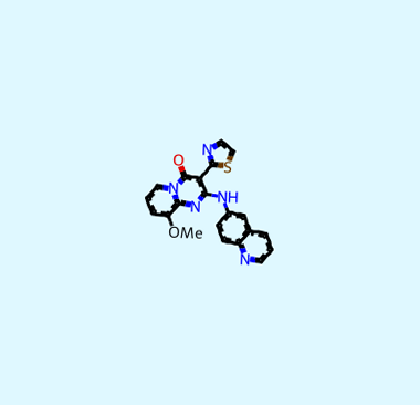 COc1cccn2c(=O)c(-c3nccs3)c(Nc3ccc4ncccc4c3)nc12